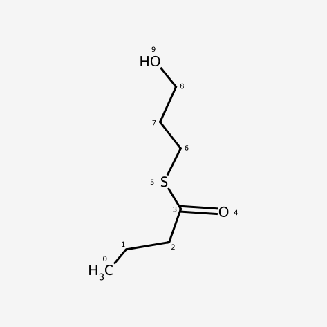 CCCC(=O)SCCCO